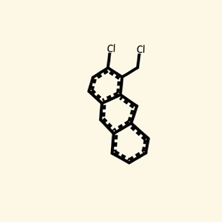 ClCc1c(Cl)ccc2cc3ccccc3cc12